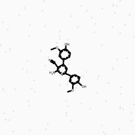 COc1cc(-c2cc(-c3ccc(O)c(OC)c3)c(C#N)c(N)n2)ccc1O